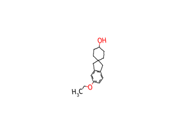 CCOc1ccc2c(c1)CC1(CCC(O)CC1)C2